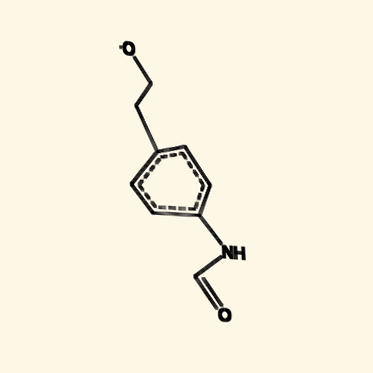 [O]CCc1ccc(NC=O)cc1